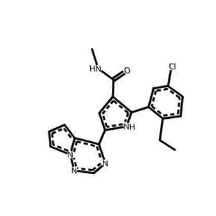 CCc1ccc(Cl)cc1-c1[nH]c(-c2ncnn3cccc23)cc1C(=O)NC